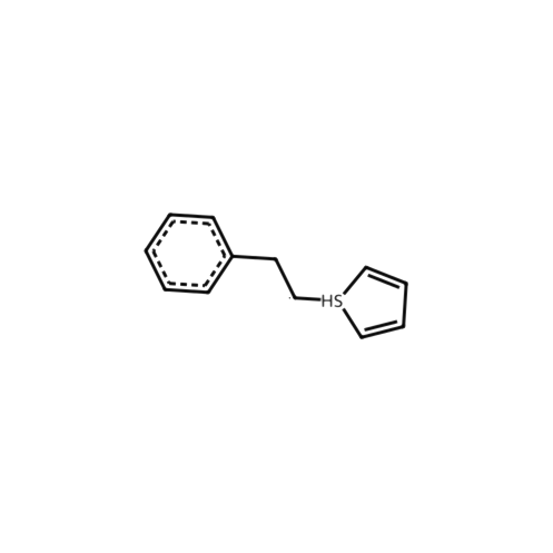 [CH](Cc1ccccc1)[SH]1C=CC=C1